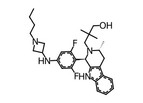 CCCCN1CC(Nc2cc(F)c([C@@H]3c4[nH]c5ccccc5c4C[C@@H](C)N3CC(C)(C)CO)c(F)c2)C1